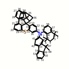 CC1(C)CCC(C)(C)c2c(N(c3ccc4c(c3)Sc3cccc(-c5ccccc5)c3C43C4CC5CC6CC3C64C5)c3ccc4c(c3)C(C)(C)c3ccccc3-4)cccc21